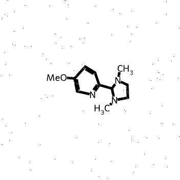 COc1ccc(C2N(C)CCN2C)nc1